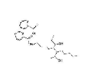 CCCCCC(C(C)O)C(CCCCC)C(O)CC.O=C(O)c1ccccc1.O=C(O)c1ccccc1